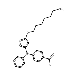 CCCCCCCOc1csc(N(c2ccccc2)c2ccc([N+](=O)[O-])cc2)c1